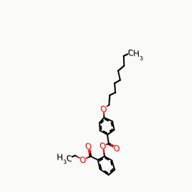 CCCCCCCCCOc1ccc(C(=O)Oc2ccccc2C(=O)OCC)cc1